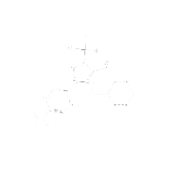 CS(=O)(=O)c1ccc(-n2nc(C(F)(F)F)c(C=O)c2SC2CCCCC2)nc1